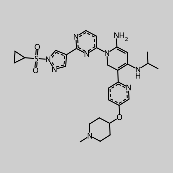 CC(C)NC1=C(c2ccc(OC3CCN(C)CC3)cn2)CN(c2ccnc(-c3cnn(S(=O)(=O)C4CC4)c3)n2)C(N)=C1